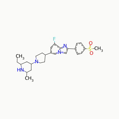 CCC1CC(N2CCC(c3cc(F)c4nc(-c5ccc(S(C)(=O)=O)cc5)cn4c3)CC2)CC(C)N1